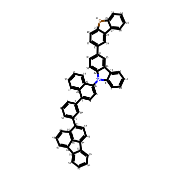 c1cc(-c2ccc(-n3c4ccccc4c4cc(-c5ccc6sc7ccccc7c6c5)ccc43)c3ccccc23)cc(-c2ccc3c4c(cccc24)-c2ccccc2-3)c1